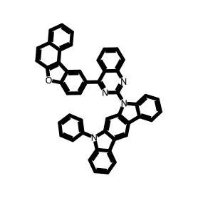 c1ccc(-n2c3ccccc3c3cc4c5ccccc5n(-c5nc(-c6ccc7oc8ccc9ccccc9c8c7c6)c6ccccc6n5)c4cc32)cc1